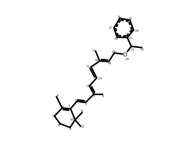 CC(C=CC1=C(C)CCCC1(C)C)=CC=CC(C)=CCOC(C)c1ccccc1